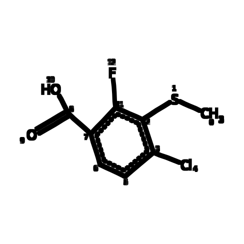 CSc1c(Cl)ccc(C(=O)O)c1F